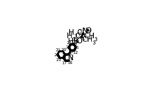 CC(C)(N=O)C(C)(C)OBc1ccc(-c2nccc3c2CCC=C3)cc1